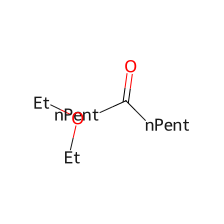 CCCCCC(=O)CCCCC.CCOCC